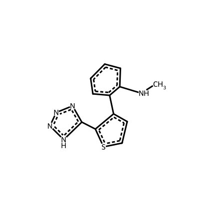 CNc1ccccc1-c1ccsc1-c1nnn[nH]1